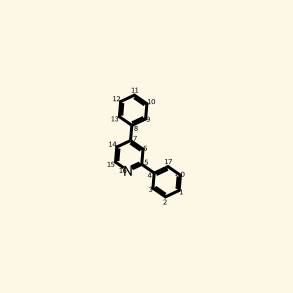 [c]1cccc(-c2cc(-c3ccccc3)ccn2)c1